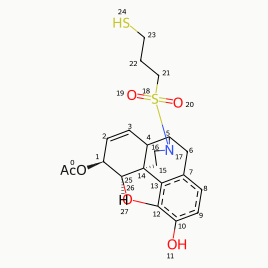 CC(=O)O[C@H]1C=CC2C3Cc4ccc(O)c5c4[C@@]2(CCN3S(=O)(=O)CCCS)[C@H]1O5